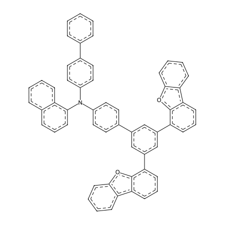 c1ccc(-c2ccc(N(c3ccc(-c4cc(-c5cccc6c5oc5ccccc56)cc(-c5cccc6c5oc5ccccc56)c4)cc3)c3cccc4ccccc34)cc2)cc1